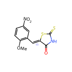 COc1ccc([N+](=O)[O-])cc1/C=C1\SC(=S)NC1=O